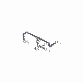 CCCCC/C=C\C/C=C\CCCCCCCCC(CCCCCCCC/C=C\C/C=C\CCCCC)OC(=O)OCCN(CC)CCN(CCC)CCC